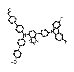 COc1ccc(-c2ccc(N(c3ccc(-c4ccc(C=O)cc4)cc3)c3ccc(-c4ccc(-n5c6ccc(F)cc6c6cc(F)ccc65)cc4)c4nsnc34)cc2)cc1